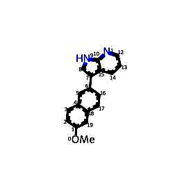 COc1ccc2cc(-c3c[nH]c4ncccc34)ccc2c1